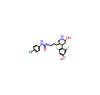 COc1cc(F)c(C2CC(O)NCC2CCCNC(=O)Nc2ccc(Cl)cc2)c(F)c1